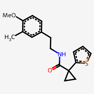 COc1ccc(CCNC(=O)C2(c3cccs3)CC2)cc1C